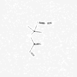 C=CC(=O)OC(C)(C)N=C=S